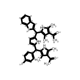 CC(=O)c1c(C)[nH]c(C(c2ccc(F)cc2)c2ccc(C(c3cc4ccccc4s3)c3[nH]c(C)c(C(C)=O)c3C)[nH]2)c1C